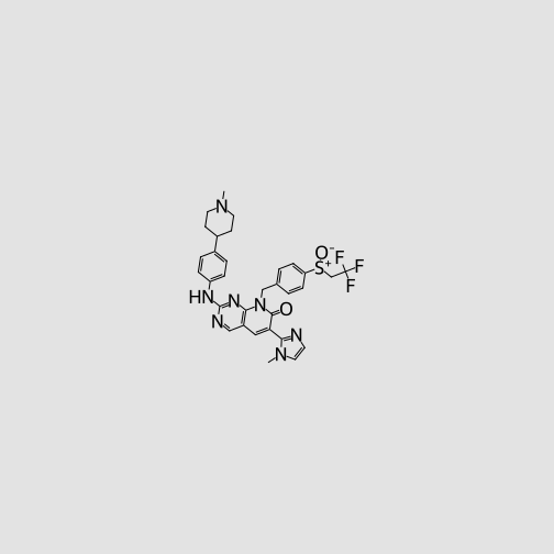 CN1CCC(c2ccc(Nc3ncc4cc(-c5nccn5C)c(=O)n(Cc5ccc([S+]([O-])CC(F)(F)F)cc5)c4n3)cc2)CC1